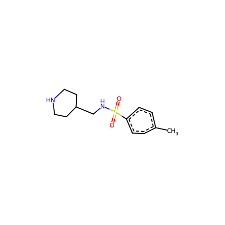 Cc1ccc(S(=O)(=O)NCC2CCNCC2)cc1